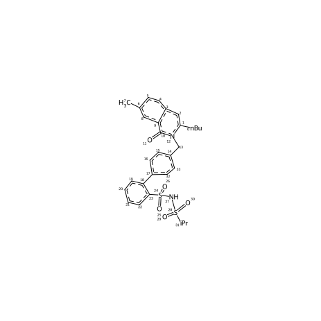 CCCCc1cc2ccc(C)cc2c(=O)n1Cc1ccc(-c2ccccc2S(=O)(=O)NS(=O)(=O)C(C)C)cc1